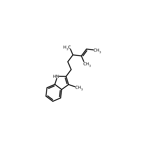 C/C=C(\C)C(C)CCc1[nH]c2ccccc2c1C